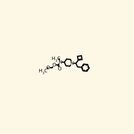 COCOC(=O)N(C)C1CCN(C(Cc2ccccc2)C2=CCC2)CC1